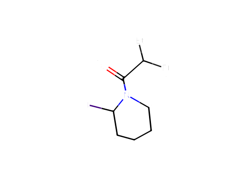 CCC(CC)C(=O)N1CCCCC1I